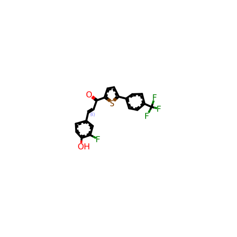 O=C(/C=C/c1ccc(O)c(F)c1)c1ccc(-c2ccc(C(F)(F)F)cc2)s1